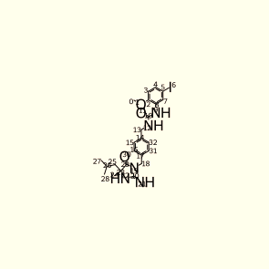 COc1ccc(I)cc1NC(=O)NCc1ccc(CN2C(=N)NC(C)(CC(C)C)C2=O)cc1